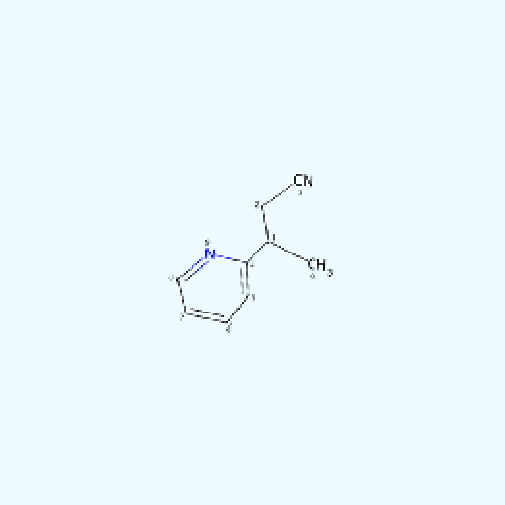 CC(CC#N)c1c[c]ccn1